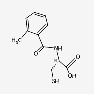 Cc1ccccc1C(=O)N[C@@H](CS)C(=O)O